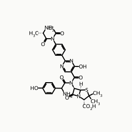 CCC(=O)N(C(=O)[C@H](C)N)c1ccc(-c2ncc(C(=O)N(C(=O)C(N)c3ccc(O)cc3)[C@@H]3C(=O)N4[C@@H]3SC(C)(C)[C@@H]4C(=O)O)c(O)n2)cc1